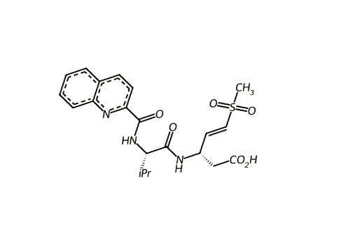 CC(C)[C@H](NC(=O)c1ccc2ccccc2n1)C(=O)N[C@H](/C=C/S(C)(=O)=O)CC(=O)O